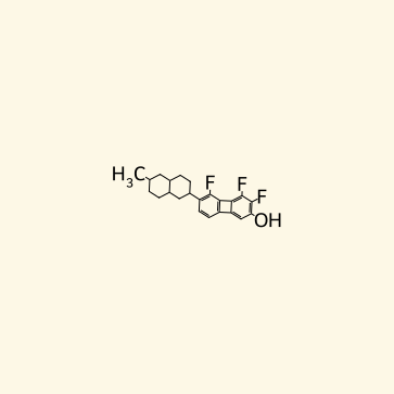 CC1CCC2CC(c3ccc4c(c3F)-c3c-4cc(O)c(F)c3F)CCC2C1